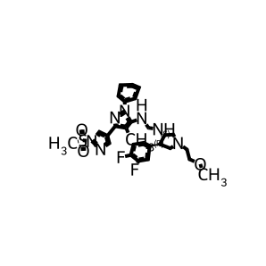 COCCN1C[C@@H](NCNc2c(C)c(-c3cnn(S(C)(=O)=O)c3)nn2-c2ccccc2)[C@H](c2ccc(F)c(F)c2)C1